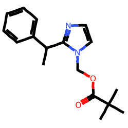 CC(c1ccccc1)c1nccn1COC(=O)C(C)(C)C